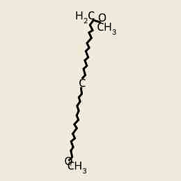 C=C(CCCCCCCCCCCCCCCCCCCCCCCCCCCCCCOC)C(C)=O